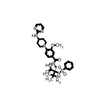 COc1cc(C(=O)NC[C@@](NS(=O)(=O)c2ccccc2)(C(=O)O)C(C)(C)C)ccc1N1CCC(Nc2ncccn2)CC1